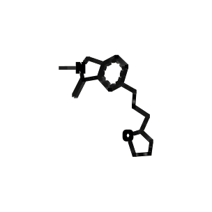 C=C1c2cc(CCCC3CCCO3)ccc2CN1C